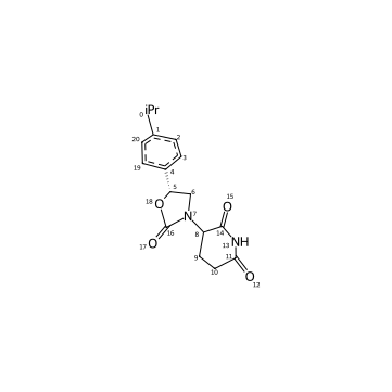 CC(C)c1ccc([C@@H]2CN(C3CCC(=O)NC3=O)C(=O)O2)cc1